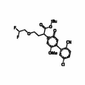 COc1cn(C(CCOCC(F)F)C(=O)OC(C)(C)C)c(=O)cc1-c1cc(Cl)ccc1C#N